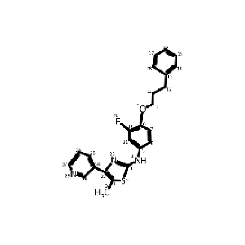 Cc1sc(Nc2ccc(OCCCc3ccccc3)c(F)c2)nc1-c1cccnc1